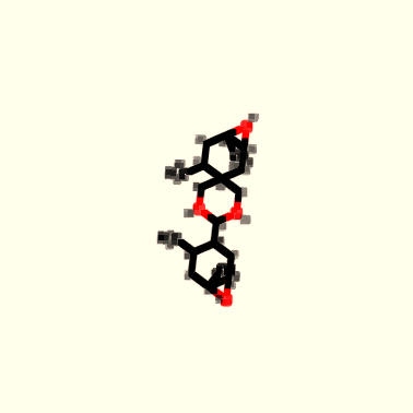 CC1CC2(C)OC2CC1C1OCC2(CO1)CC1OC1(C)CC2C